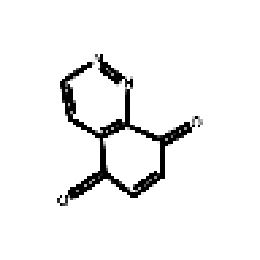 O=C1C=CC(=O)c2nnccc21